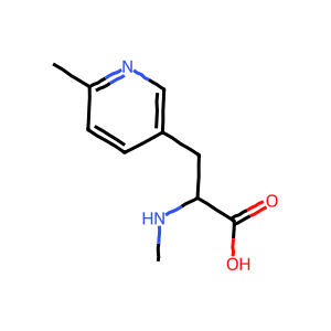 CNC(Cc1ccc(C)nc1)C(=O)O